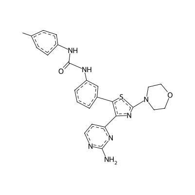 Cc1ccc(NC(=O)Nc2cccc(-c3sc(N4CCOCC4)nc3-c3ccnc(N)n3)c2)cc1